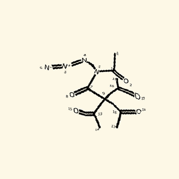 CC(=O)N(N=[N+]=[N-])C(=O)C(C(C)=O)(C(C)=O)C(C)=O